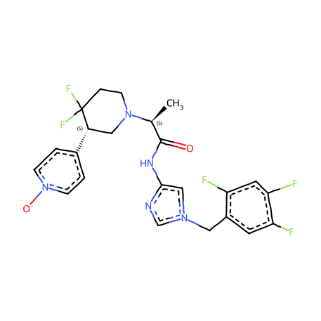 C[C@@H](C(=O)Nc1cn(Cc2cc(F)c(F)cc2F)cn1)N1CCC(F)(F)[C@@H](c2cc[n+]([O-])cc2)C1